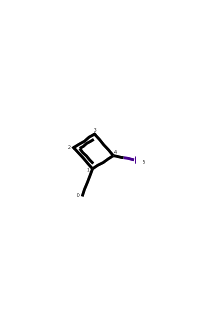 CC1=C=CC1I